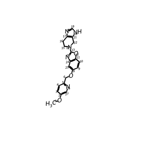 COc1ccc(COc2ccc3oc(N4CCc5nc[nH]c5C4)nc3c2)nc1